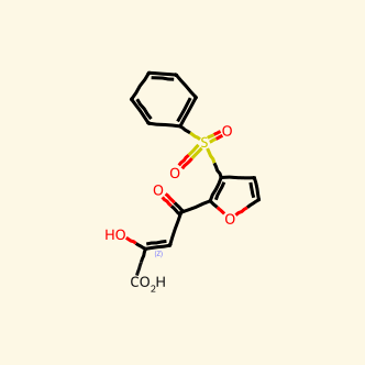 O=C(O)/C(O)=C/C(=O)c1occc1S(=O)(=O)c1ccccc1